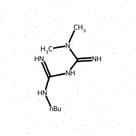 CCCCNC(=N)NC(=N)N(C)C